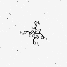 C=CC(=O)OC(OC(=O)C=C)(OC(=O)C=C)OC(=O)C=C